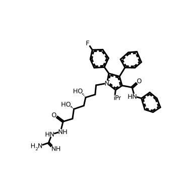 CC(C)c1c(C(=O)Nc2ccccc2)c(-c2ccccc2)c(-c2ccc(F)cc2)n1CC[C@@H](O)C[C@@H](O)CC(=O)NNC(=N)N